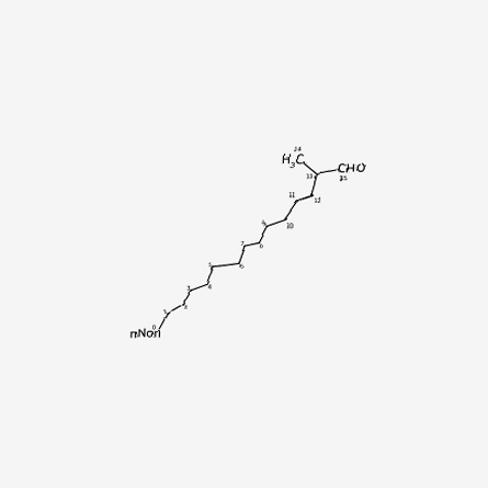 CCCCCCCCCCCCCCCCCCCCCC(C)C=O